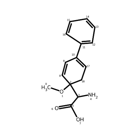 COC1(C(N)C(=O)O)C=CC(c2ccccc2)=CC1